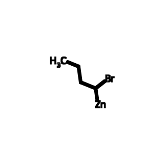 CCC[CH]([Zn])Br